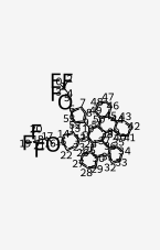 FC(F)(F)COc1ccc(-c2c(-c3ccc(OCC(F)(F)F)cc3)c3c4ccccc4c4ccccc4c3c3c4ccccc4c4ccccc4c23)cc1